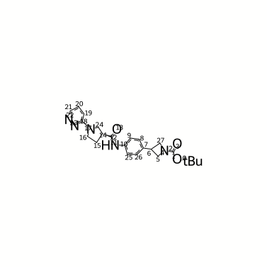 CC(C)(C)OC(=O)N1CC(c2ccc(NC(=O)[C@H]3CCN(c4cccnn4)C3)cc2)C1